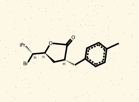 Cc1ccc(C[C@@H]2C[C@@H]([C@H](Br)C(C)C)OC2=O)cc1